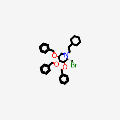 BrC[C@@H]1[C@@H](OCc2ccccc2)[C@H](OCc2ccccc2)[C@@H](OCc2ccccc2)CN1CCC1CCCCC1